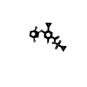 O=C(NS(=O)(=O)C1CC1)c1cc(C2CC2)c(O[C@@H]2C[C@@H]3CC[C@H]2C3)cc1F